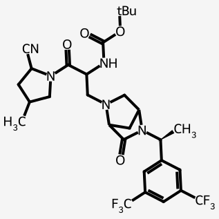 CC1CC(C#N)N(C(=O)C(CN2CC3CC2C(=O)N3[C@@H](C)c2cc(C(F)(F)F)cc(C(F)(F)F)c2)NC(=O)OC(C)(C)C)C1